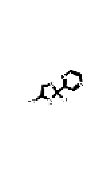 CC1(c2cnccn2)NC(O)=CS1